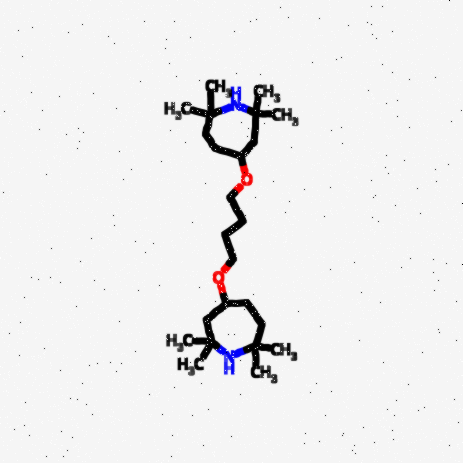 CC1(C)CCC(OCCCCOC2CCC(C)(C)NC(C)(C)C2)CC(C)(C)N1